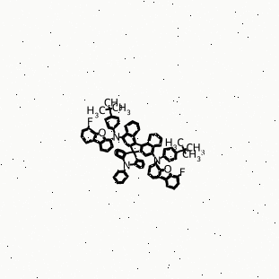 CC(C)(C)c1ccc(N(c2cc3c(c4ccccc24)-c2c(cc(N(c4ccc(C(C)(C)C)cc4)c4cccc5c4oc4c(F)cccc45)c4ccccc24)C32c3ccccc3N(c3ccccc3)c3ccccc32)c2cccc3c2oc2c(F)cccc23)cc1